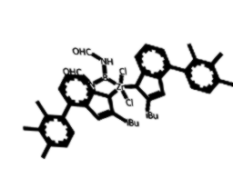 CCC(C)C1=Cc2c(-c3ccc(C)c(C)c3C)cccc2[CH]1[Zr]([Cl])([Cl])([B](NC=O)NC=O)[CH]1C(C(C)CC)=Cc2c(-c3ccc(C)c(C)c3C)cccc21